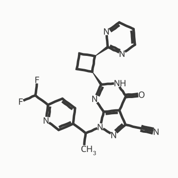 CC(c1ccc(C(F)F)nc1)n1nc(C#N)c2c(=O)[nH]c([C@H]3CC[C@H]3c3ncccn3)nc21